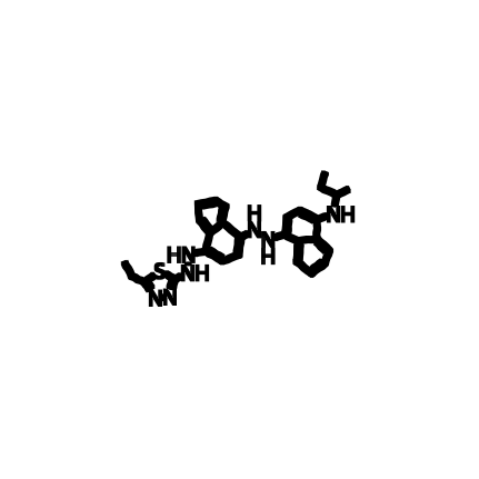 CCc1nnc(NNc2ccc(NNc3ccc(NC(C)CC)c4ccccc34)c3ccccc23)s1